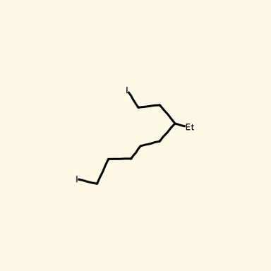 CCC(CCI)CCCCCI